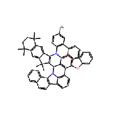 CCCCc1ccc(N2C3=C(B4c5c2cc2c(oc6ccccc62)c5-c2cccc5c6ccc7ccccc7c6n4c25)C(C)(C)c2cc4c(cc23)C(C)(C)CCC4(C)C)c(-c2ccccc2)c1